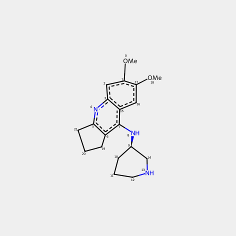 COc1cc2nc3c(c(N[C@@H]4CCCNC4)c2cc1OC)CCC3